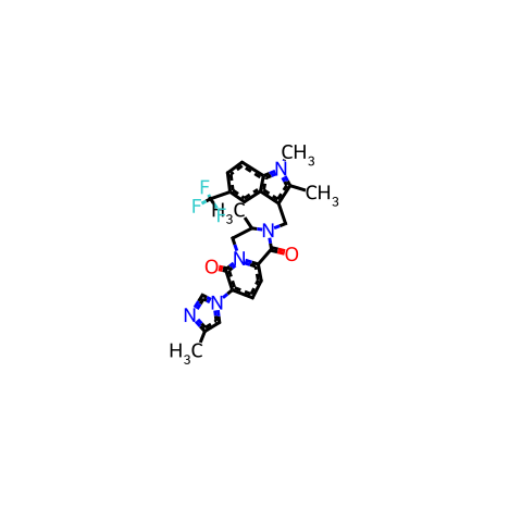 Cc1cn(-c2ccc3n(c2=O)CC(C)N(Cc2c(C)n(C)c4ccc(C(F)(F)F)cc24)C3=O)cn1